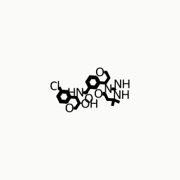 CC1(C)CC(=O)N([C@@H]2CCOc3ccc(C(=O)N[C@@H]4c5cc(Cl)ccc5OC[C@H]4O)cc32)C(=N)N1